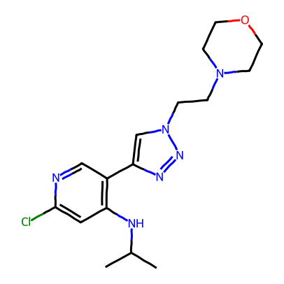 CC(C)Nc1cc(Cl)ncc1-c1cn(CCN2CCOCC2)nn1